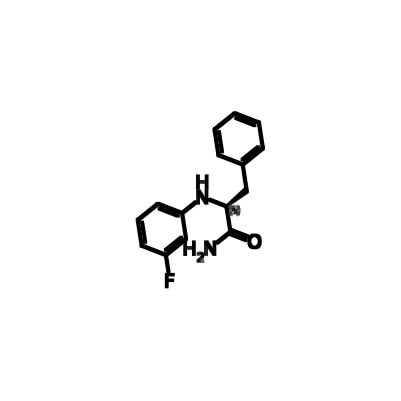 NC(=O)[C@H](Cc1ccccc1)Nc1cccc(F)c1